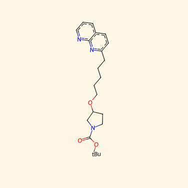 CC(C)(C)OC(=O)N1CCC(OCCCCCc2ccc3cccnc3n2)C1